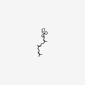 CC(C)=CCCC(C)=CCCC(C)=CCOC(=O)CCl